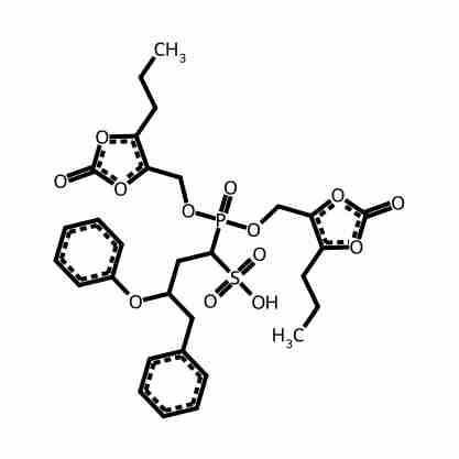 CCCc1oc(=O)oc1COP(=O)(OCc1oc(=O)oc1CCC)C(CC(Cc1ccccc1)Oc1ccccc1)S(=O)(=O)O